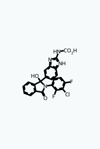 O=C(O)Nc1nc2cc(C3(O)c4ccccc4C(=O)N3c3ccc(F)c(Cl)c3F)ccc2[nH]1